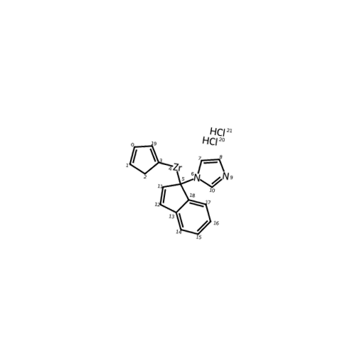 C1=CC[C]([Zr][C]2(n3ccnc3)C=Cc3ccccc32)=C1.Cl.Cl